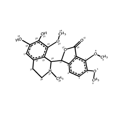 COc1ccc2c(c1OC)C(=O)OC2C1c2c(cc(O)c(O)c2OC)CCN1C